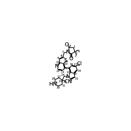 CC1(C)CC(=O)N(Cc2cc3nccc(-c4cc(Cl)cc5ccn(CC6(C#N)CCNCC6)c45)c3s2)C1=O